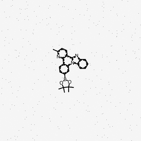 Cc1ccc2c(n1)c1ccc(B3OC(C)(C)C(C)(C)O3)cc1n1c3ccccc3nc21